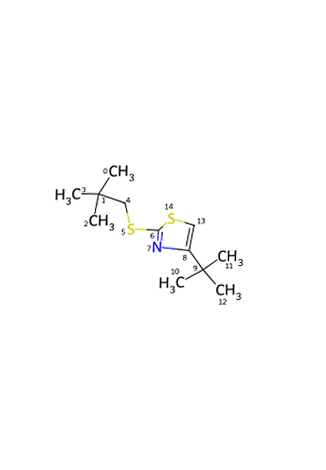 CC(C)(C)CSc1nc(C(C)(C)C)cs1